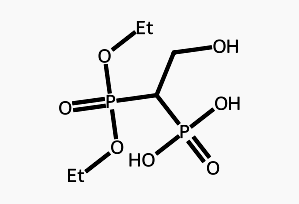 CCOP(=O)(OCC)C(CO)P(=O)(O)O